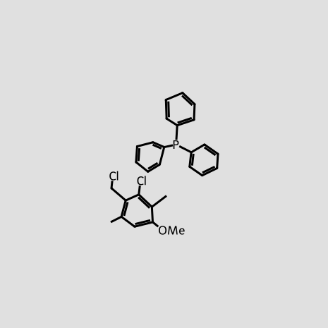 COc1cc(C)c(CCl)c(Cl)c1C.c1ccc(P(c2ccccc2)c2ccccc2)cc1